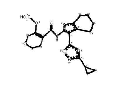 O=C(O)OC1=C(C(=O)Nc2sc3c(c2-c2nc(C4CC4)no2)CCCC3)CCOC1